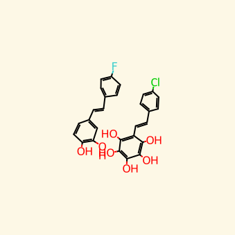 Oc1c(O)c(O)c(C=Cc2ccc(Cl)cc2)c(O)c1O.Oc1ccc(C=Cc2ccc(F)cc2)cc1O